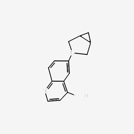 O=C(O)c1ccnc2ccc(N3CC4CC4C3)cc12